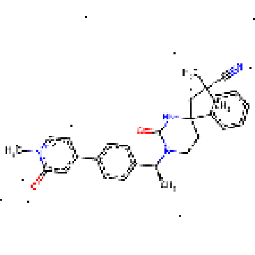 C[C@@H](c1ccc(-c2ccn(C)c(=O)c2)cc1)N1CCC(CC(C)(C)C#N)(c2ccccc2)NC1=O